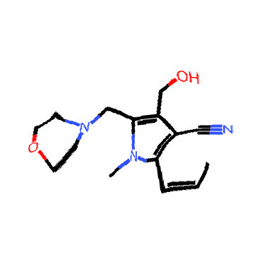 C/C=C\c1c(C#N)c(CO)c(CN2CCOCC2)n1C